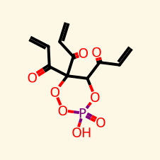 C=CC(=O)C1OP(=O)(O)OOC1(C(=O)C=C)C(=O)C=C